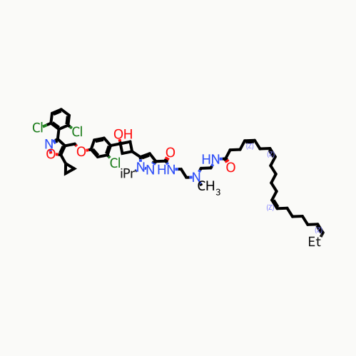 CC/C=C\CCCC/C=C\CCCC/C=C\C/C=C\CCC(=O)NCCN(C)CCNC(=O)c1cc(C2CC(O)(c3ccc(OCc4c(-c5c(Cl)cccc5Cl)noc4C4CC4)cc3Cl)C2)n(C(C)C)n1